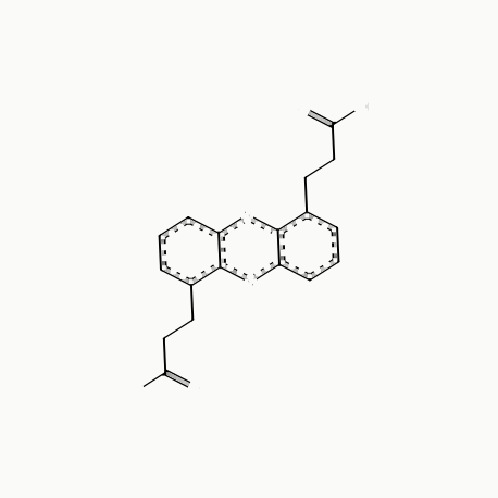 O=C(O)CCc1cccc2nc3c(CCC(=O)O)cccc3nc12